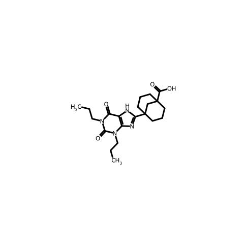 CCCn1c(=O)c2[nH]c(C34CCCC(C(=O)O)(CCC3)C4)nc2n(CCC)c1=O